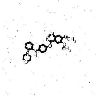 COc1cc2ncnc(Oc3ccc(Nc4ccccc4N4CCOCC4)cc3)c2cc1OC